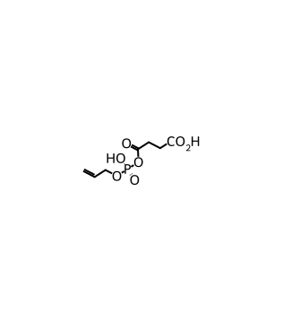 C=CCOP(=O)(O)OC(=O)CCC(=O)O